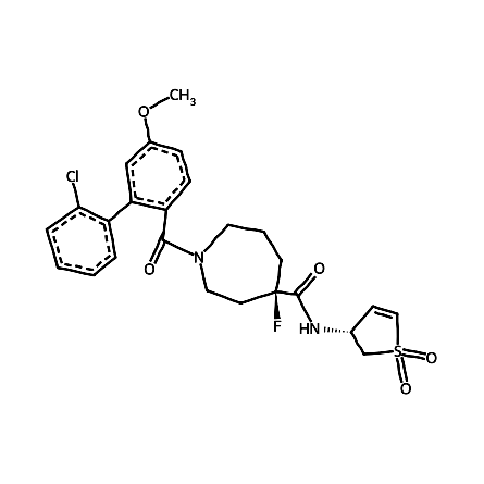 COc1ccc(C(=O)N2CCC[C@](F)(C(=O)N[C@@H]3C=CS(=O)(=O)C3)CC2)c(-c2ccccc2Cl)c1